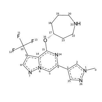 Cn1cc(-c2cn3ncc(C(F)(F)F)c3c(O[C@@H]3CCCNCC3)n2)cn1